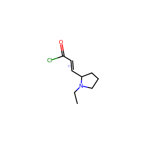 CCN1CCCC1/C=C/C(=O)Cl